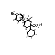 CC1(C(=O)O)CC(C(=O)O)(C2CCCCC2)CC=C1c1ccc(Br)cc1